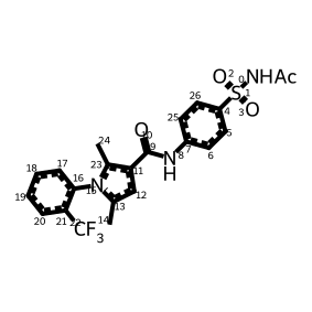 CC(=O)NS(=O)(=O)c1ccc(NC(=O)c2cc(C)n(-c3ccccc3C(F)(F)F)c2C)cc1